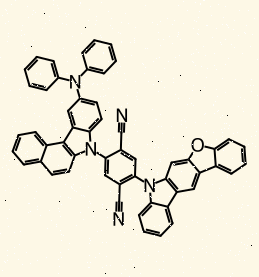 N#Cc1cc(-n2c3ccc(N(c4ccccc4)c4ccccc4)cc3c3c4ccccc4ccc32)c(C#N)cc1-n1c2ccccc2c2cc3c(cc21)oc1ccccc13